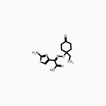 CCC1(ON=C(C(=O)O)c2csc(N)n2)CCC(=O)CC1